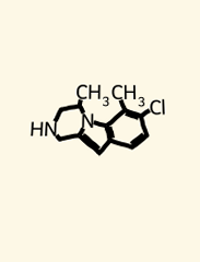 Cc1c(Cl)ccc2cc3n(c12)C(C)CNC3